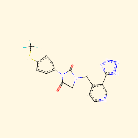 O=C1CN(Cc2ccncc2-c2nnn[nH]2)C(=O)N1c1ccc(SC(F)(F)F)cc1